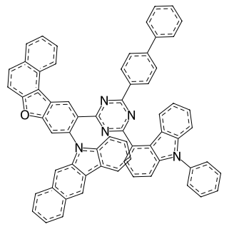 c1ccc(-c2ccc(-c3nc(-c4cc5c(cc4-n4c6ccccc6c6cc7ccccc7cc64)oc4ccc6ccccc6c45)nc(-c4cccc5c4c4ccccc4n5-c4ccccc4)n3)cc2)cc1